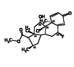 COC(=O)[C]1[C@H](C)CC2C3C[C@H](F)C4=CC(=O)C=C[C@]4(C)[C@@]3(Cl)[C@@H](O)C[C@@]12C